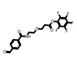 O=Cc1ccc(C(=O)NCCOCCC(=O)Oc2c(F)c(F)c(F)c(F)c2F)cc1